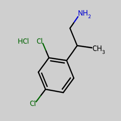 CC(CN)c1ccc(Cl)cc1Cl.Cl